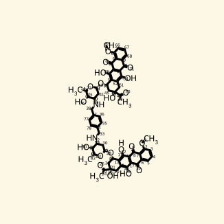 COc1cccc2c1C(=O)c1c(O)c3c(c(O)c1C2=O)C[C@@](O)(C(C)=O)C[C@@H]3O[C@H]1C[C@H](NCc2ccc(CN[C@@H]3C[C@@H](O[C@H]4C[C@](O)(C(C)=O)Cc5c(O)c6c(c(O)c54)C(=O)c4c(OC)cccc4C6=O)O[C@H](C)[C@@H]3O)cc2)[C@H](O)[C@H](C)O1